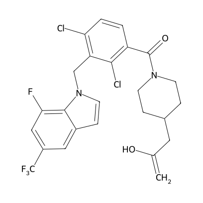 C=C(O)CC1CCN(C(=O)c2ccc(Cl)c(Cn3ccc4cc(C(F)(F)F)cc(F)c43)c2Cl)CC1